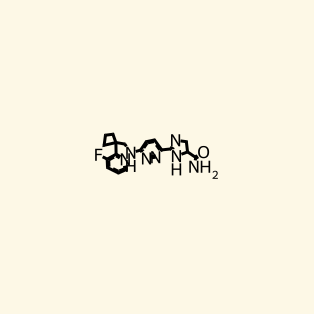 NC(=O)C1CN=C(c2ccc(NCC3(c4ncccc4F)CCC3)nn2)N1